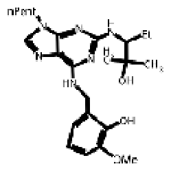 CCCCCn1cnc2c(NCc3cccc(OC)c3O)nc(NC(CC)C(C)(C)O)nc21